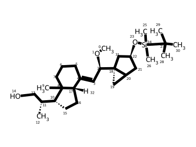 CO[C@H](/C=C1\CCCC2(C)[C@@H]([C@H](C)CO)CC[C@@H]12)[C@]12CC1C[C@H](O[Si](C)(C)C(C)(C)C)C2